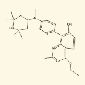 CCOc1cc(C)nc2c(-c3ccc(N(C)C4CC(C)(C)NC(C)(C)C4)nn3)c(O)ccc12